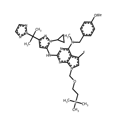 COc1ccc(CN(C)c2nc(Nc3cc(C(C)(C)n4nccn4)nn3C3CC3)nc3c2c(F)cn3COCC[Si](C)(C)C)cc1